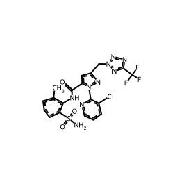 Cc1cccc(S(N)(=O)=O)c1NC(=O)c1cc(Cn2nnc(C(F)(F)F)n2)nn1-c1ncccc1Cl